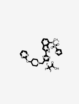 CN(c1cccc2cc(-c3ncc(CN4CCC(Oc5ncccn5)CC4)s3)[nH]c12)S(=O)(=O)c1cccs1.O=C(O)C(F)(F)F